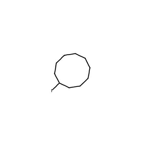 IC1CCCCCCCCC1